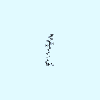 CC(=O)NCCCCCCC=CNNC(=O)CCC(C)C